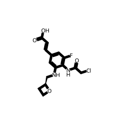 O=C(O)/C=C/c1cc(F)c(NC(=O)CCl)c(NC[C@@H]2CCO2)c1